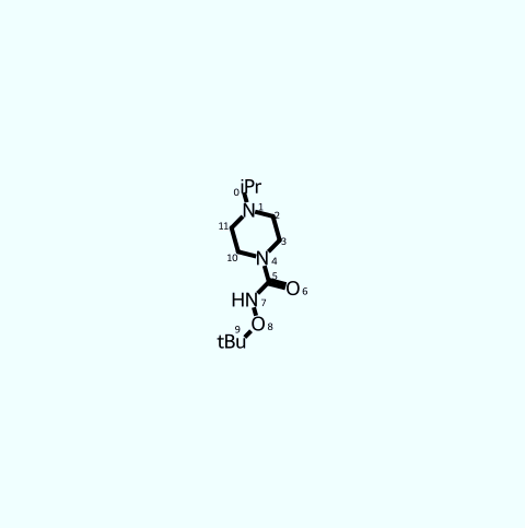 CC(C)N1CCN(C(=O)NOC(C)(C)C)CC1